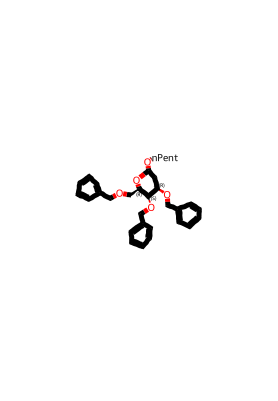 CCCCCOC1C[C@@H](OCc2ccccc2)[C@H](OCc2ccccc2)[C@@H](COCc2ccccc2)O1